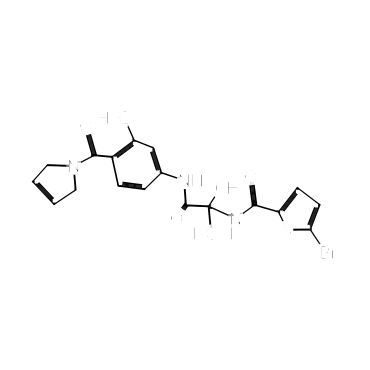 Cc1cc(NC(=O)C(C)(C)NC(=O)c2ccc(Br)s2)ccc1C(=O)N1CC=CC1